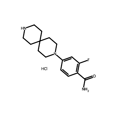 Cl.NC(=O)c1ccc(N2CCC3(CCNCC3)CC2)cc1F